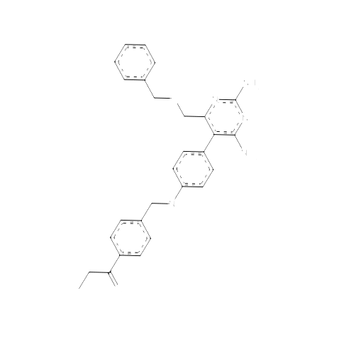 CCC(=O)c1ccc(CNc2ccc(-c3c(N)nc(N)nc3COCc3ccccc3)cc2)cc1